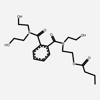 CCCC(=O)OCCN(CCO)C(=O)c1ccccc1C(=O)N(CCO)CCO